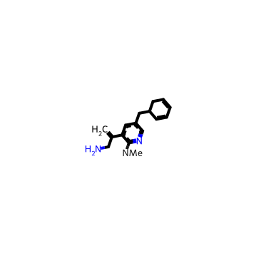 C=C(CN)c1cc(CC2C=CC=CC2)cnc1NC